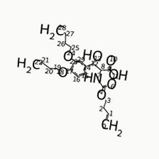 C=CCCOC(=O)NC(C(=O)O)C(O)c1ccc(OCCC=C)c(OCCC=C)c1